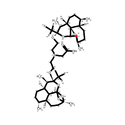 C[C@@H]1CC[C@H]2[C@@H](C)[C@](OCCN(CCO[C@@]3(C(F)(F)F)OC4O[C@]5(C)CC[C@H]6[C@H](C)CC[C@@H]([C@H]3C)[C@@]46OO5)CC(=O)O)(C(F)(F)F)OC3O[C@]4(C)CC[C@@H]1[C@]32OO4